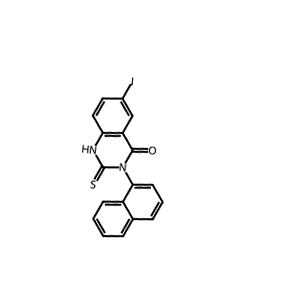 O=c1c2cc(I)ccc2[nH]c(=S)n1-c1cccc2ccccc12